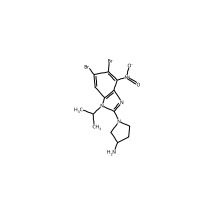 CC(C)n1c(N2CCC(N)C2)nc2c([N+](=O)[O-])c(Br)c(Br)cc21